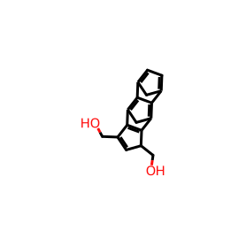 OCC1=CC(CO)C2=C1C1=C3C4=CC=C(C4)C3=C2C1